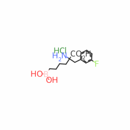 Cl.NC(CCCCB(O)O)(Cc1cccc(F)c1)C(=O)O